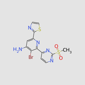 CS(=O)(=O)c1nccc(-c2nc(-c3nccs3)cc(N)c2Br)n1